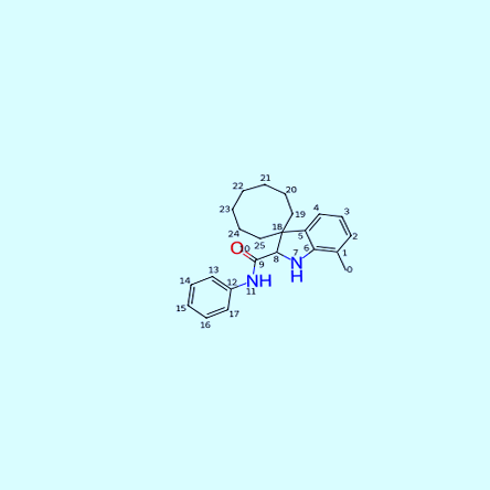 Cc1cccc2c1NC(C(=O)Nc1ccccc1)C21CCCCCCC1